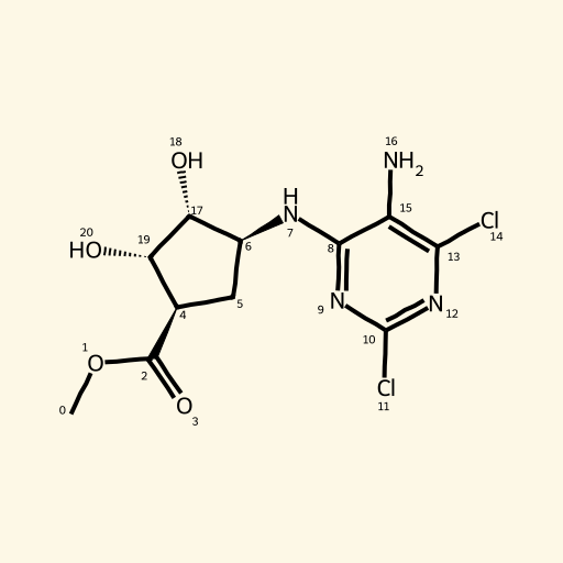 COC(=O)[C@@H]1C[C@H](Nc2nc(Cl)nc(Cl)c2N)[C@@H](O)[C@H]1O